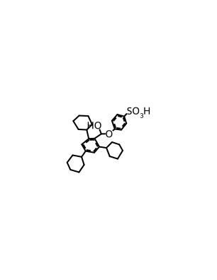 O=S(=O)(O)c1ccc(OC(O)c2c(C3CCCCC3)cc(C3CCCCC3)cc2C2CCCCC2)cc1